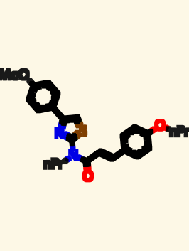 CCCOc1ccc(C=CC(=O)N(CCC)c2nc(-c3ccc(OC)cc3)cs2)cc1